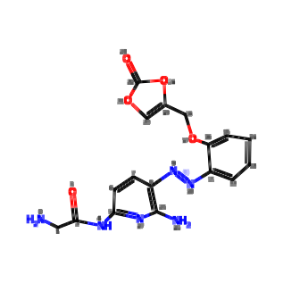 NCC(=O)Nc1ccc(/N=N/c2ccccc2OCc2coc(=O)o2)c(N)n1